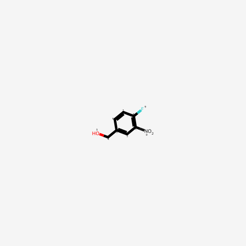 O=[N+]([O-])c1cc([CH]O)ccc1F